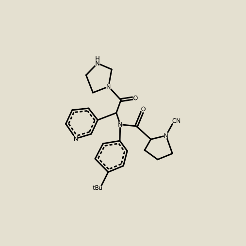 CC(C)(C)c1ccc(N(C(=O)C2CCCN2C#N)C(C(=O)N2CCNC2)c2cccnc2)cc1